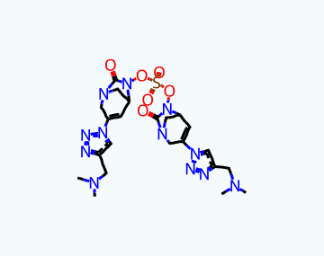 CN(C)Cc1cn(C2=CC3CN(C2)C(=O)N3OS(=O)(=O)ON2C(=O)N3CC(n4cc(CN(C)C)nn4)=CC2C3)nn1